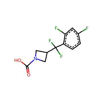 O=C(O)N1CC(C(F)(F)c2ccc(F)cc2F)C1